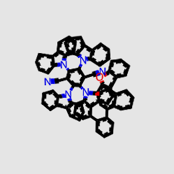 N#Cc1c(-n2c3ccccc3c3ccccc32)c(-n2c3ccccc3c3ccccc32)c(C#N)c(-n2c3cccc(-c4ccccc4-c4cccc5ccccc45)c3c3ccc4c5ccccc5oc4c32)c1-n1c2ccccc2c2ccccc21